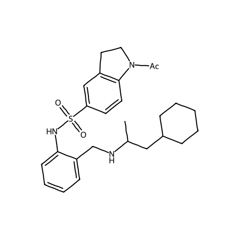 CC(=O)N1CCc2cc(S(=O)(=O)Nc3ccccc3CNC(C)CC3CCCCC3)ccc21